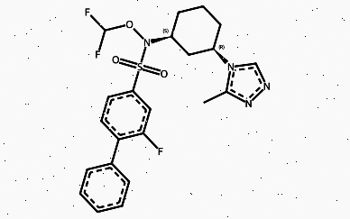 Cc1nncn1[C@@H]1CCC[C@H](N(OC(F)F)S(=O)(=O)c2ccc(-c3ccccc3)c(F)c2)C1